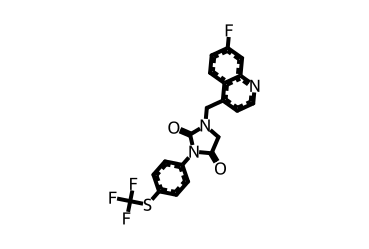 O=C1CN(Cc2ccnc3cc(F)ccc23)C(=O)N1c1ccc(SC(F)(F)F)cc1